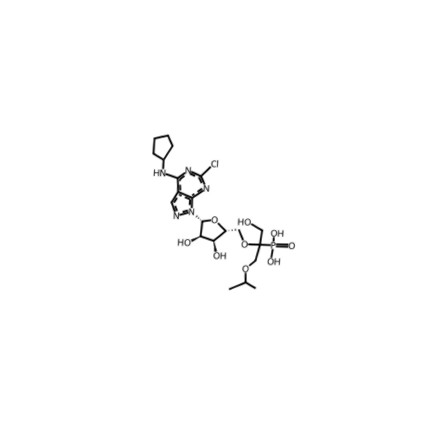 CC(C)OCC(CO)(OC[C@H]1O[C@@H](n2ncc3c(NC4CCCC4)nc(Cl)nc32)[C@H](O)[C@@H]1O)P(=O)(O)O